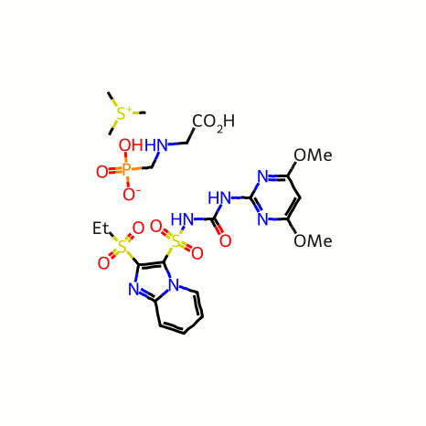 CCS(=O)(=O)c1nc2ccccn2c1S(=O)(=O)NC(=O)Nc1nc(OC)cc(OC)n1.C[S+](C)C.O=C(O)CNCP(=O)([O-])O